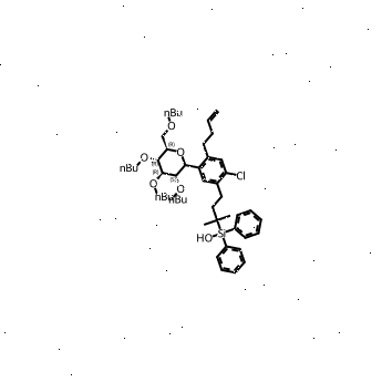 C=CCCc1cc(Cl)c(CCC(C)(C)[Si](O)(c2ccccc2)c2ccccc2)cc1C1O[C@H](COCCCC)[C@@H](OCCCC)[C@H](OCCCC)[C@H]1OCCCC